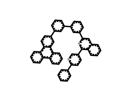 c1ccc(-c2ccc(-c3nc(-c4cccc(-c5cccc(-c6ccc7c8ccccc8c8ccccc8c7c6)c5)c4)cc4ccccc34)cn2)cc1